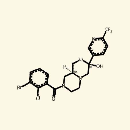 O=C(c1cccc(Br)c1Cl)N1CCN2C[C@@](O)(c3ccc(C(F)(F)F)nc3)OC[C@@H]2C1